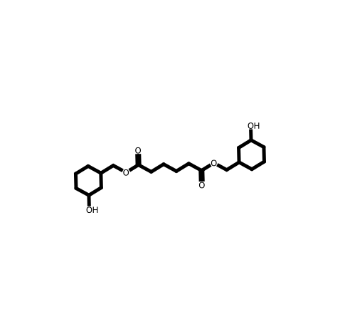 O=C(CCCCC(=O)OCC1CCCC(O)C1)OCC1CCCC(O)C1